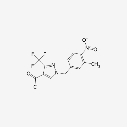 Cc1cc(Cn2cc(C(=O)Cl)c(C(F)(F)F)n2)ccc1[N+](=O)[O-]